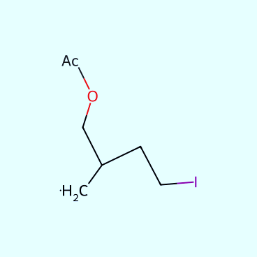 [CH2]C(CCI)COC(C)=O